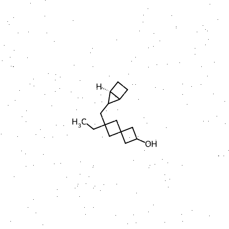 CCC1(CC2C3CC[C@@H]32)CC2(CC(O)C2)C1